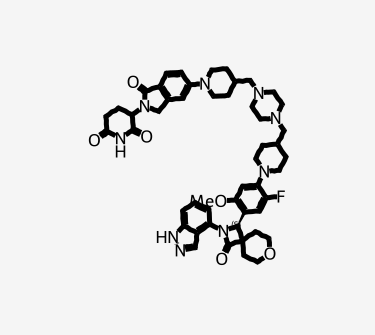 COc1cc(N2CCC(CN3CCN(CC4CCN(c5ccc6c(c5)CN(C5CCC(=O)NC5=O)C6=O)CC4)CC3)CC2)c(F)cc1[C@@H]1N(c2cccc3[nH]ncc23)C(=O)C12CCOCC2